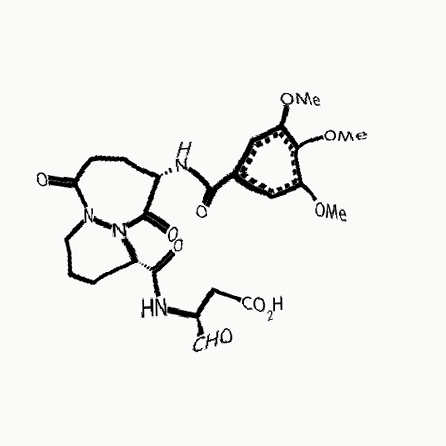 COc1cc(C(=O)N[C@H]2CCC(=O)N3CCC[C@@H](C(=O)N[C@H](C=O)CC(=O)O)N3C2=O)cc(OC)c1OC